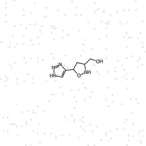 OCC1CC(c2c[nH]nn2)ON1